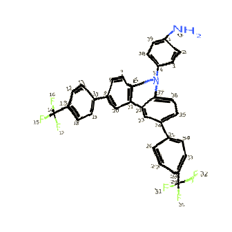 Nc1ccc(-n2c3ccc(-c4ccc(C(F)(F)F)cc4)cc3c3cc(-c4ccc(C(F)(F)F)cc4)ccc32)cc1